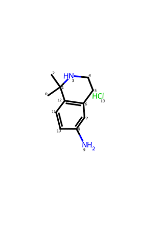 CC1(C)NCCc2cc(N)ccc21.Cl